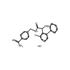 COC(C(=O)NCc1ccc(C(=N)N)cc1)c1c(F)cccc1-c1ccccc1.Cl